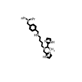 CCCN(CCC)Cc1ccc(CNCCCCN(Cc2ncc[nH]2)C(C)c2ncc[nH]2)cc1